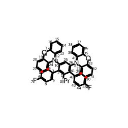 CC(C)c1c(-c2ccc(F)cc2)c(N2c3ccccc3Oc3ccccc32)cc(N2c3ccccc3Oc3ccccc32)c1-c1ccc(F)cc1